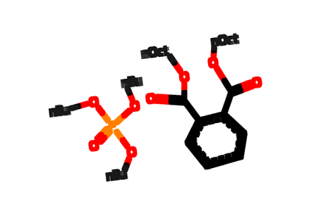 CCCCCCCCOC(=O)c1ccccc1C(=O)OCCCCCCCC.CCCCOP(=O)(OCCCC)OCCCC